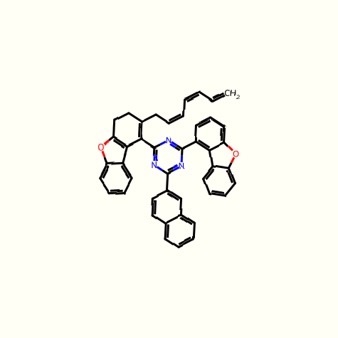 C=C/C=C\C=C/CC1=C(c2nc(-c3ccc4ccccc4c3)nc(-c3cccc4oc5ccccc5c34)n2)c2c(oc3ccccc23)CC1